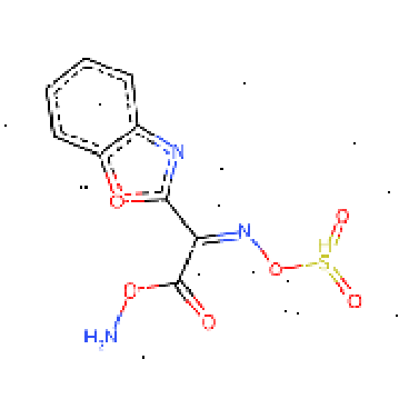 NOC(=O)/C(=N\O[SH](=O)=O)c1nc2ccccc2o1